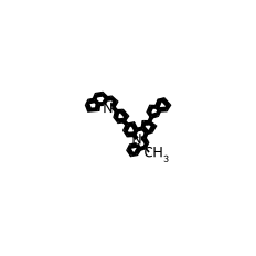 C[C@@H]1C=C2c3ccc(-c4ccc5ccccc5c4)cc3-c3cc(-c4ccc(-c5ccc6ccc7ccccc7c6n5)cc4)ccc3N2c2ccccc21